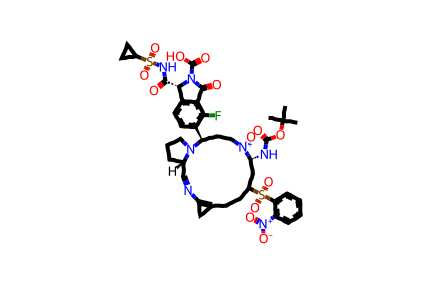 CC(C)(C)OC(=O)N[C@@H]1CC(S(=O)(=O)c2ccccc2[N+](=O)[O-])CCC2=C(C2)/N=C\[C@@H]2CCCN2[C@@H](c2ccc3c(c2F)C(=O)N(C(=O)O)[C@H]3C(=O)NS(=O)(=O)C2CC2)CC[N+]1=O